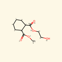 CC(C)OC(=O)C1CCCCC1C(=O)OCCO